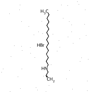 Br.C=CCNCCCCCCCCCCCCCCCC